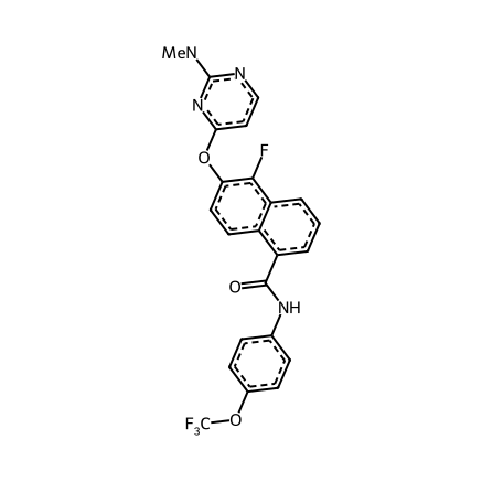 CNc1nccc(Oc2ccc3c(C(=O)Nc4ccc(OC(F)(F)F)cc4)cccc3c2F)n1